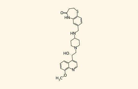 COc1cccc2c([C@H](O)CN3CCC(NCc4ccc5c(c4)NC(=O)CCS5)CC3)ccnc12